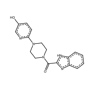 O=C(c1nc2ccccc2[nH]1)N1CCN(c2ccc(O)cn2)CC1